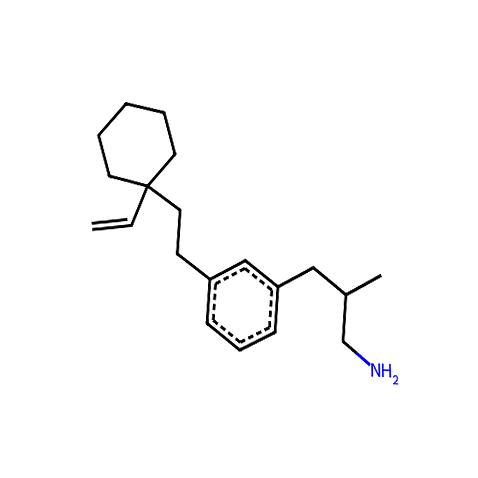 C=CC1(CCc2cccc(CC(C)CN)c2)CCCCC1